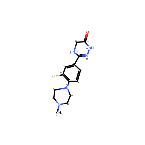 CN1CCN(c2ccc(C3=NNC(=O)CN3)cc2F)CC1